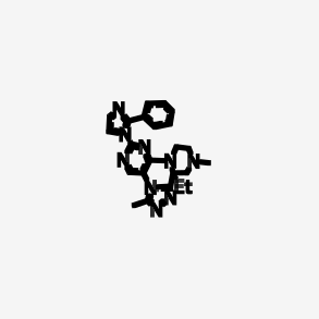 CC[C@]12CN(C)CCN1c1nc(-n3ccnc3-c3ccccc3)ncc1-n1c(C)nnc12